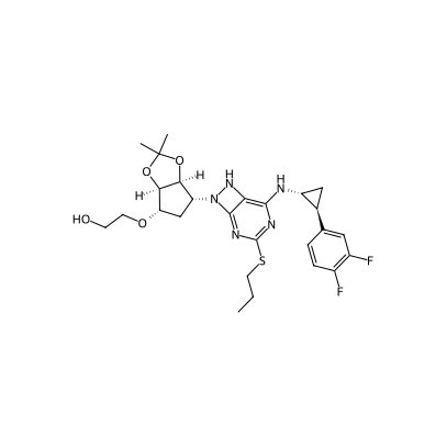 CCCSc1nc(N[C@@H]2C[C@H]2c2ccc(F)c(F)c2)c2[nH]n([C@@H]3C[C@H](OCCO)[C@H]4OC(C)(C)O[C@H]43)c2n1